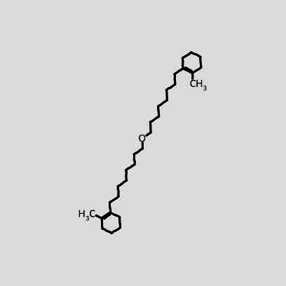 CC1=C(CCCCCCCCOCCCCCCCCC2=C(C)CCCC2)CCCC1